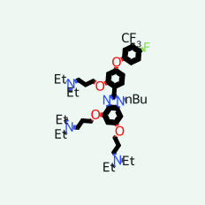 CCCCn1c(-c2ccc(Oc3ccc(F)c(C(F)(F)F)c3)cc2OCCCN(CC)CC)nc2c(OCCCN(CC)CC)cc(OCCCN(CC)CC)cc21